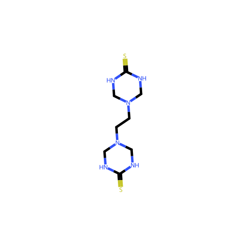 S=C1NCN(CCN2CNC(=S)NC2)CN1